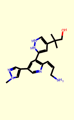 Cn1cc(-c2cnc(/C=C\CN)c(C3=CC(C(C)(C)CO)=CNN3)c2)cn1